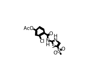 CC(=O)Oc1ccc(C(=O)NC2NC=C(S(C)(=O)=O)S2)c(Cl)c1